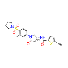 C#Cc1ccc(C(=O)N[C@@H]2CC(=O)N(c3ccc(S(=O)(=O)N4CCCC4)c(C)c3)C2)s1